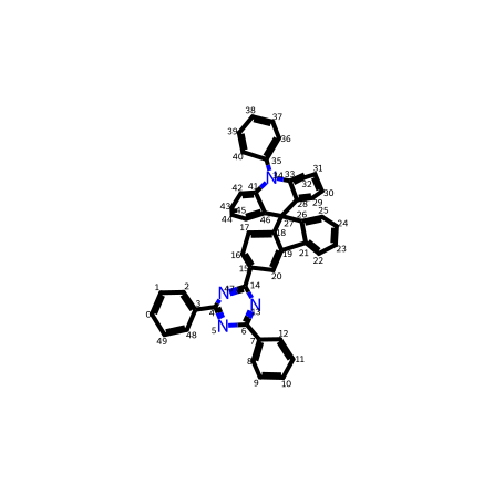 c1ccc(-c2nc(-c3ccccc3)nc(-c3ccc4c(c3)-c3ccccc3C43c4ccccc4N(c4ccccc4)c4ccccc43)n2)cc1